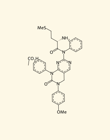 CC(=O)O.COc1ccc(N2Cc3cnc(N(C(=O)[C@@H](N)CCSC)c4ccccc4)nc3N(c3ccccc3)C2=O)cc1